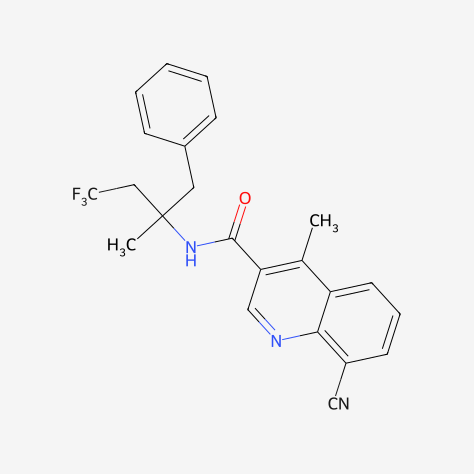 Cc1c(C(=O)NC(C)(Cc2ccccc2)CC(F)(F)F)cnc2c(C#N)cccc12